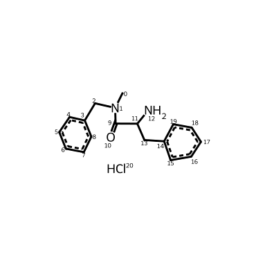 CN(Cc1ccccc1)C(=O)C(N)Cc1ccccc1.Cl